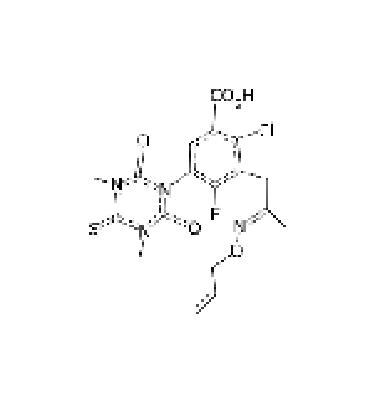 C=CCON=C(C)Cc1c(F)c(-n2c(=O)n(C)c(=S)n(C)c2=O)cc(C(=O)O)c1Cl